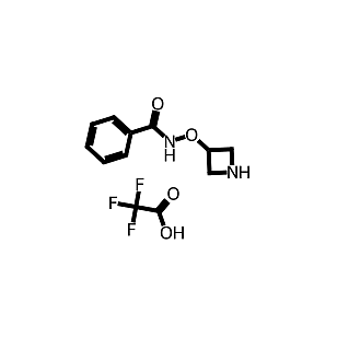 O=C(NOC1CNC1)c1ccccc1.O=C(O)C(F)(F)F